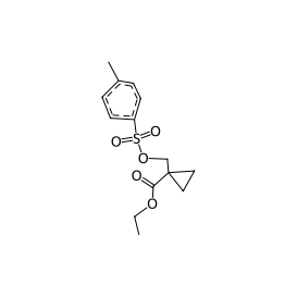 CCOC(=O)C1(COS(=O)(=O)c2ccc(C)cc2)CC1